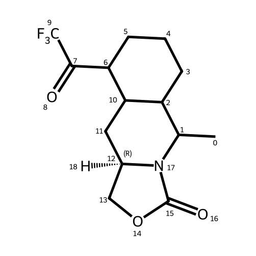 CC1C2CCCC(C(=O)C(F)(F)F)C2C[C@@H]2COC(=O)N12